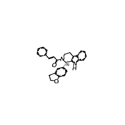 O=C(C=Cc1ccccc1)N1CCc2c([nH]c3ccccc23)[C@@H]1c1ccc2c(c1)CCO2